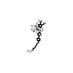 C=C(N(C)c1ccc(C#N)c(C(=O)F)c1F)C(C)(C)Nc1ccc(-c2ccc(CCCCCCCC)cc2)nc1